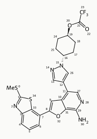 CSc1nc2cccc(-c3cc4c(-c5cnn([C@H]6CC[C@H](OC(=O)C(F)(F)F)CC6)c5)cnc(N)c4o3)c2s1